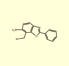 N#CCc1c([N+](=O)[O-])ccc2nc(-c3ccccc3)oc12